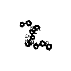 CCc1c(-c2ccc3c(c2C)c2ncccc2n3-c2cccc(-c3ccccc3)c2)ccc2c1c1ncccc1n2-c1cccc(-c2ccc3oc4ccccc4c3c2)c1